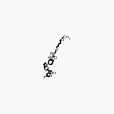 CCOCCCCCOCCNC(=O)N[C@@H]1CCC[C@H](n2ccc3cnc(-c4c[nH]c5ncc(F)cc45)nc32)C1